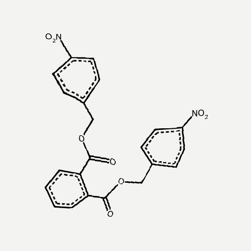 O=C(OCc1ccc([N+](=O)[O-])cc1)c1ccccc1C(=O)OCc1ccc([N+](=O)[O-])cc1